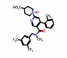 Cc1ccccc1-c1cc([N+]2([O-])CCC(C(=O)O)CC2)ncc1C(=O)N(C)Cc1cc(C(F)(F)F)cc(C(F)(F)F)c1